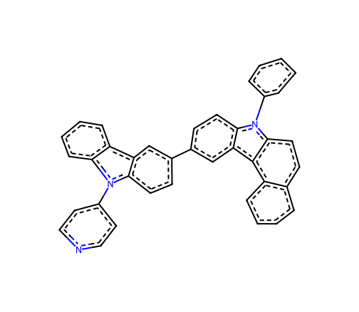 c1ccc(-n2c3ccc(-c4ccc5c(c4)c4ccccc4n5-c4ccncc4)cc3c3c4ccccc4ccc32)cc1